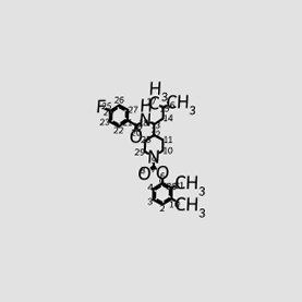 Cc1cccc(OC(=O)N2CCC(C(CC(C)C)NC(=O)c3ccc(F)cc3)CC2)c1C